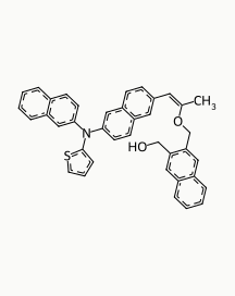 CC(=Cc1ccc2cc(N(c3ccc4ccccc4c3)c3cccs3)ccc2c1)OCc1cc2ccccc2cc1CO